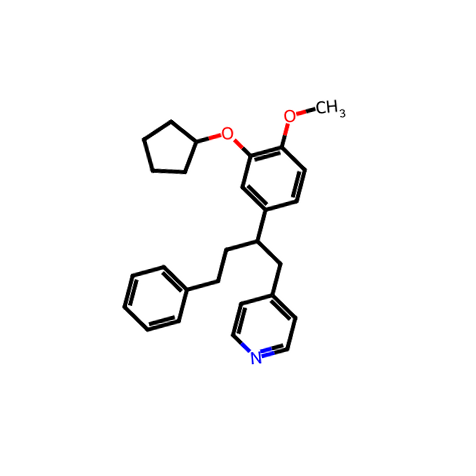 COc1ccc(C(CCc2ccccc2)Cc2ccncc2)cc1OC1CCCC1